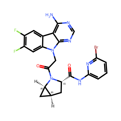 Nc1ncnc2c1c1cc(F)c(F)cc1n2CC(=O)N1[C@@H]2C[C@@H]2C[C@H]1C(=O)Nc1cccc(Br)n1